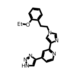 CCOc1ccccc1CCn1cnc(-c2cc(-c3c[nH]nn3)ccn2)c1